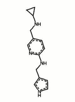 c1cc(CNc2ccc(CNC3CC3)cn2)c[nH]1